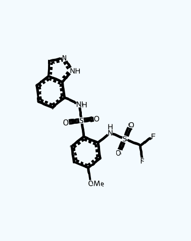 COc1ccc(S(=O)(=O)Nc2cccc3cn[nH]c23)c(NS(=O)(=O)C(F)F)c1